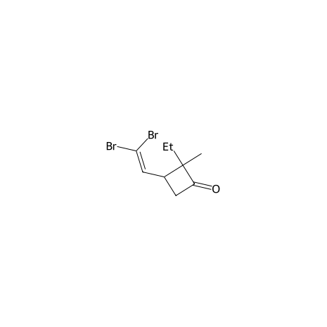 CCC1(C)C(=O)CC1C=C(Br)Br